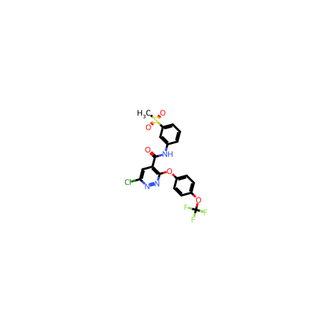 CS(=O)(=O)c1cccc(NC(=O)c2cc(Cl)nnc2Oc2ccc(OC(F)(F)F)cc2)c1